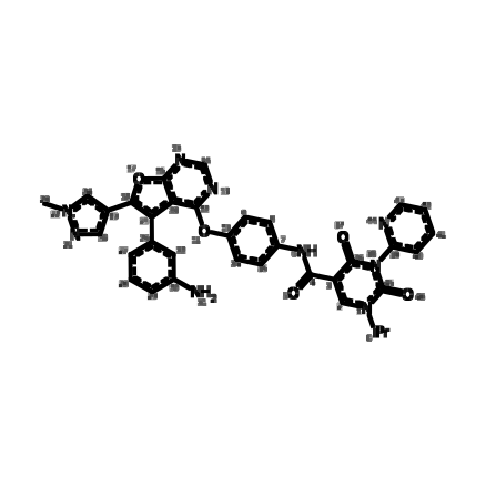 CC(C)n1cc(C(=O)Nc2ccc(Oc3ncnc4oc(-c5cnn(C)c5)c(-c5cccc(N)c5)c34)cc2)c(=O)n(-c2ccccn2)c1=O